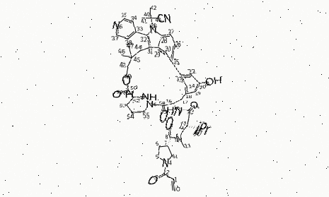 C=CC(=O)N1CC[C@H](C(=O)N(C)[C@H](C(=O)N[C@H]2Cc3cc(O)cc(c3)-c3ccc4c(c3)c(c(-c3ccncc3)n4C(C)(C)C#N)CC(C)(C)COC(=O)[C@@H]3CCCN(N3)C2=O)C(C)C)C1